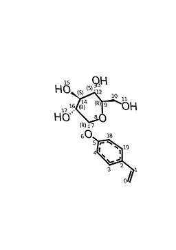 C=Cc1ccc(O[C@H]2O[C@H](CO)[C@@H](O)[C@H](O)[C@H]2O)cc1